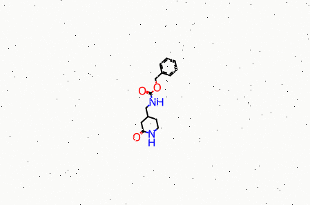 O=C1CC(CNC(=O)OCc2ccccc2)CCN1